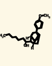 CCCCCC[C@H](O)C1[C@@H]2CC3C[C@H]1CC(c1ccc(OC)cc1)(C3)C2